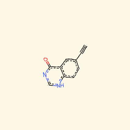 C#Cc1ccc2[nH][c]nc(=O)c2c1